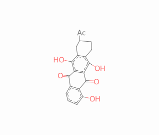 CC(=O)C1CCc2c(O)c3c(c(O)c2C1)C(=O)c1cccc(O)c1C3=O